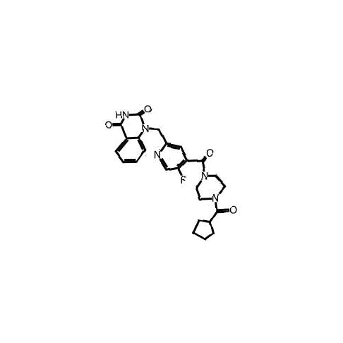 O=C(c1cc(Cn2c(=O)[nH]c(=O)c3ccccc32)ncc1F)N1CCN(C(=O)C2CCCC2)CC1